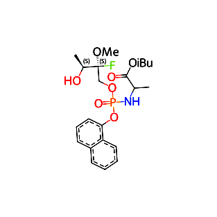 CO[C@](F)(COP(=O)(NC(C)C(=O)OCC(C)C)Oc1cccc2ccccc12)[C@H](C)O